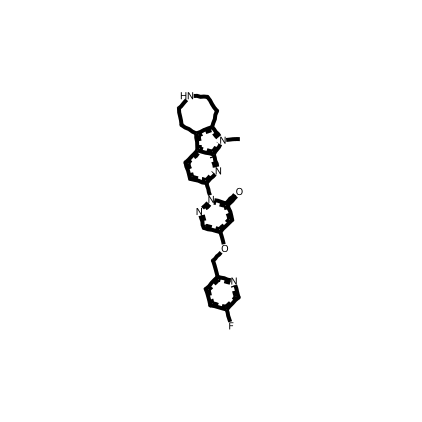 Cn1c2c(c3ccc(-n4ncc(OCc5ccc(F)cn5)cc4=O)nc31)CCNCC2